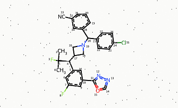 CC(C)(F)[C@H](c1cc(F)cc(-c2nnco2)c1)C1CN(C(c2ccc(Cl)cc2)c2cccc(C#N)c2)C1